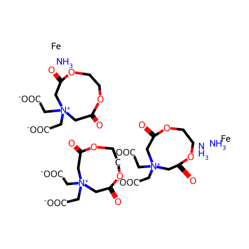 N.N.N.O=C([O-])C[N+]1(CC(=O)[O-])CC(=O)OCCOC(=O)C1.O=C([O-])C[N+]1(CC(=O)[O-])CC(=O)OCCOC(=O)C1.O=C([O-])C[N+]1(CC(=O)[O-])CC(=O)OCCOC(=O)C1.[Fe].[Fe]